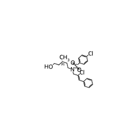 C[C@@H](CCO)CCN(CC(Cl)=Cc1ccccc1)S(=O)(=O)c1ccc(Cl)cc1